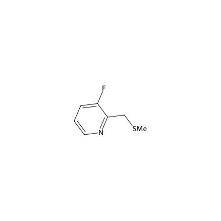 CSCc1ncccc1F